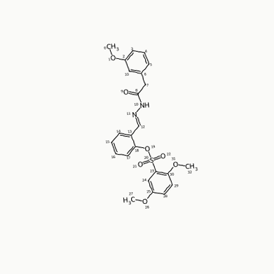 COc1cccc(CC(=O)NN=Cc2ccccc2OS(=O)(=O)c2cc(OC)ccc2OC)c1